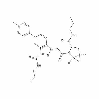 CCCNC(=O)c1nn(CC(=O)N2[C@H](C(=O)NCCC)C[C@@]3(C)C[C@@H]23)c2ccc(-c3cnc(C)nc3)cc12